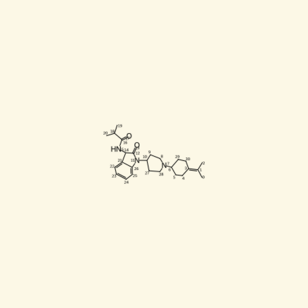 CC(C)=C1CCC(N2CCC(N3C(=O)C(NC(=O)C(C)C)c4ccccc43)CC2)CC1